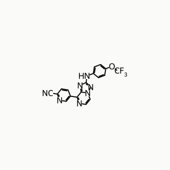 N#Cc1ccc(-c2nccn3nc(Nc4ccc(OC(F)(F)F)cc4)nc23)cn1